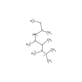 CCC(C)NC(C)C(C)C(C)C(C)C